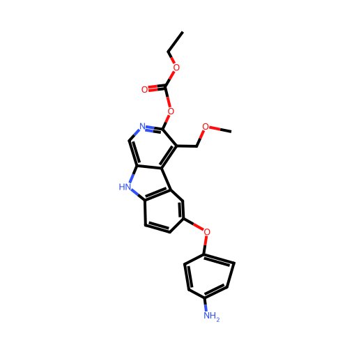 CCOC(=O)Oc1ncc2[nH]c3ccc(Oc4ccc(N)cc4)cc3c2c1COC